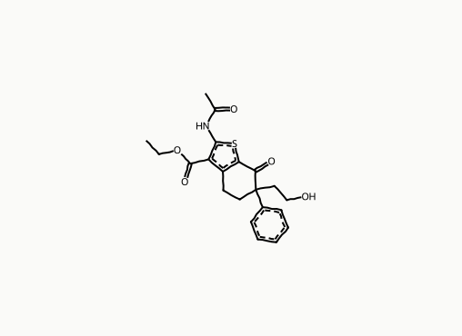 CCOC(=O)c1c(NC(C)=O)sc2c1CCC(CCO)(c1ccccc1)C2=O